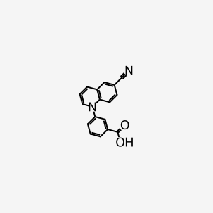 N#Cc1ccc2c(c1)C=C=CN2c1cccc(C(=O)O)c1